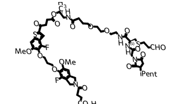 CCCC(C)C1CC(=O)N(CC(=O)N[C@H](CSCCC=O)C(=O)NCCOCCOCCCC(=O)NC[C@H](C)OC(=O)CCC(=O)c2cc3c(F)c(OCCCOc4c(OC)cc5c(c4F)CN(C(=O)CCC(=O)O)C5)c(OC)cc3s2)C1=O